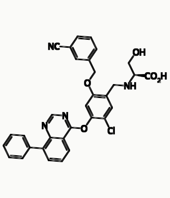 N#Cc1cccc(COc2cc(Oc3ncnc4c(-c5ccccc5)cccc34)c(Cl)cc2CN[C@@H](CO)C(=O)O)c1